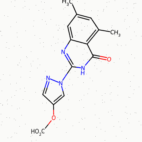 Cc1cc(C)c2c(=O)[nH]c(-n3cc(OC(=O)O)cn3)nc2c1